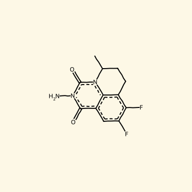 CC1CCc2c(F)c(F)cc3c(=O)n(N)c(=O)n1c23